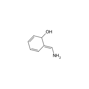 NC=C1C=CC=CC1O